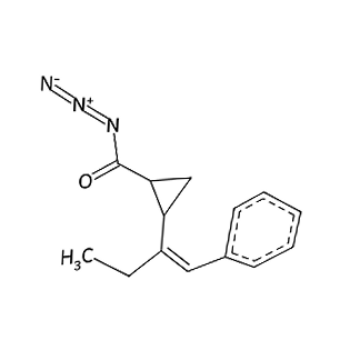 CCC(=Cc1ccccc1)C1CC1C(=O)N=[N+]=[N-]